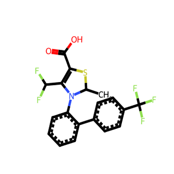 CC1SC(C(=O)O)=C(C(F)F)N1c1ccccc1-c1ccc(C(F)(F)F)cc1